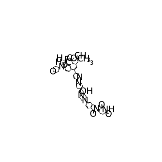 CC1(C)CC(C=C(c2ccc(N3CCC(O)(CN4CCN(c5ccc6c(c5)CN(C5CCC(=O)NC5=O)C6=O)CC4)CC3)nc2)c2ccc3c(c2)c(F)cn3C2CCOCC2)CC(C)(C)O1